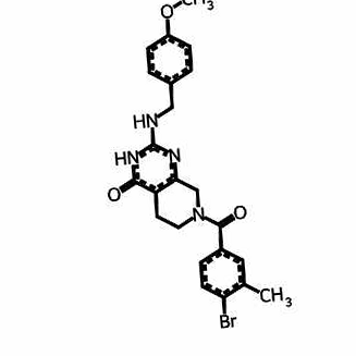 COc1ccc(CNc2nc3c(c(=O)[nH]2)CCN(C(=O)c2ccc(Br)c(C)c2)C3)cc1